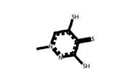 Cn1cc(S)c(=S)c(S)n1